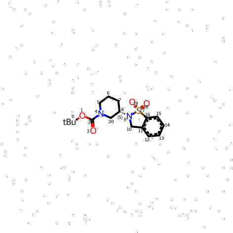 CC(C)(C)OC(=O)N1CCC[C@H](N2Cc3ccccc3S2(=O)=O)C1